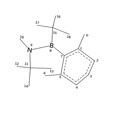 Cc1cccc(C)c1B(N(C)C(C)(C)C)C(C)(C)C